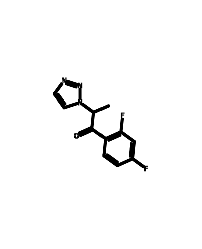 CC(C(=O)c1ccc(F)cc1F)n1ccnn1